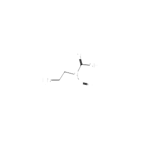 N=C(N)N(CCN)P=O